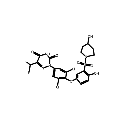 O=c1[nH]c(=O)n(-c2cc(Cl)c(Oc3ccc(O)c(S(=O)(=O)N4CCC(O)CC4)c3)c(Cl)c2)nc1C(F)F